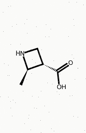 C[C@H]1NC[C@@H]1C(=O)O